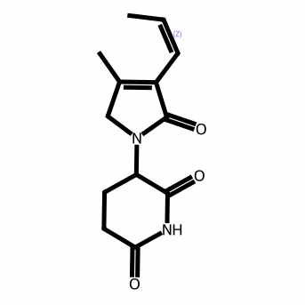 C/C=C\C1=C(C)CN(C2CCC(=O)NC2=O)C1=O